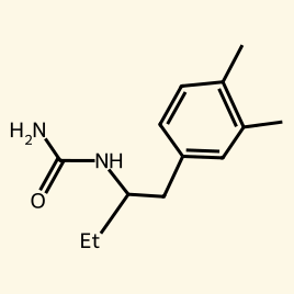 CCC(Cc1ccc(C)c(C)c1)NC(N)=O